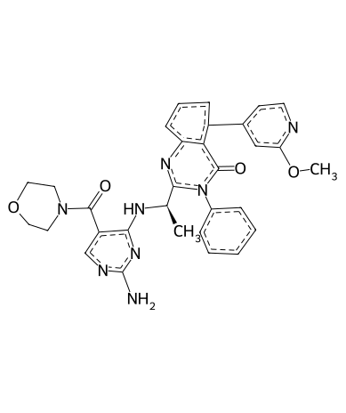 COc1cc(-c2cccc3nc([C@@H](C)Nc4nc(N)ncc4C(=O)N4CCOCC4)n(-c4ccccc4)c(=O)c23)ccn1